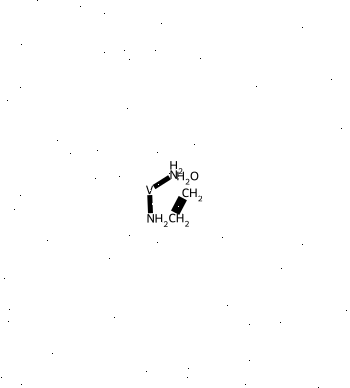 C=C.O.[NH2][V][NH2]